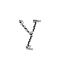 CCCCCCCCCOC(=O)CCCCCCCOC(COCCCCCCCC(=O)OCCCCCCC)COCCOCCOCCOCCN